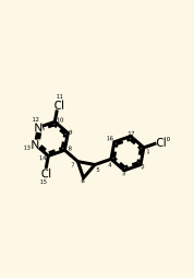 Clc1ccc(C2CC2c2cc(Cl)nnc2Cl)cc1